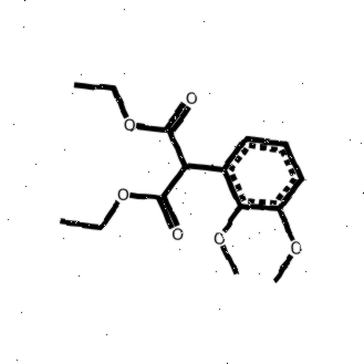 CCOC(=O)C(C(=O)OCC)c1cccc(OC)c1OC